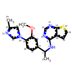 COc1cc(C(C)Nc2ncnc3sccc23)ccc1-n1cnc(C)c1